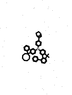 CC1(C)c2ccc(N(c3ccc(C4CC5CCC4C5)cc3)c3ccc(C4(c5ccccc5)CCCCCCC4)cc3)cc2-c2c(-c3ccccc3)cccc21